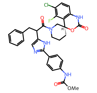 COC(=O)Nc1ccc(-c2ncc(C(Cc3ccccc3)C(=O)N3CCC[C@@]4(C3)OC(=O)Nc3ccc(Cl)c(F)c34)[nH]2)cc1